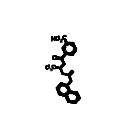 C=C(Cc1cccc2ccccc12)CC(CC(=O)c1cccc(C(=O)O)c1)C(Cl)(Cl)Cl